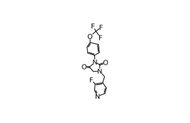 O=C1CN(Cc2ccncc2F)C(=O)N1c1ccc(OC(F)(F)F)cc1